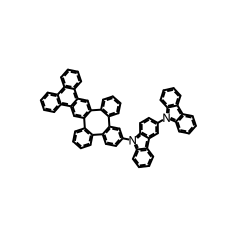 c1ccc2c(c1)-c1ccc(-n3c4ccccc4c4cc(-n5c6ccccc6c6ccccc65)ccc43)cc1-c1ccccc1-c1cc3c4ccccc4c4ccccc4c3cc1-2